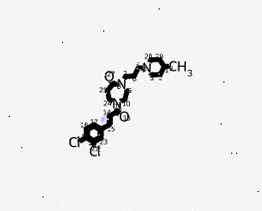 CC1CCN(CCCN2CCN(C(=O)/C=C/c3ccc(Cl)c(Cl)c3)CCC2=O)CC1